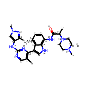 COc1nn(C)cc1Nc1ncc(C)c(-c2c[nH]c3c(NC(=O)C(C)N4CCN(C)[C@@H](C)C4)cccc23)n1